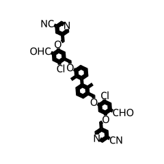 Cc1c(COc2cc(OCc3cncc(C#N)c3)c(C=O)cc2Cl)cccc1-c1cccc(OCc2cc(OCc3cncc(C#N)c3)c(C=O)cc2Cl)c1C